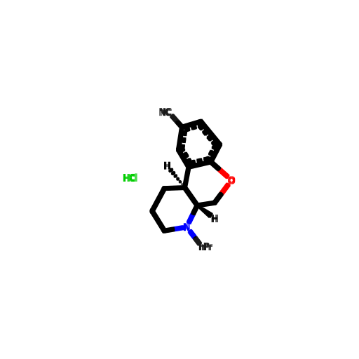 CCCN1CCC[C@H]2c3cc(C#N)ccc3OC[C@@H]21.Cl